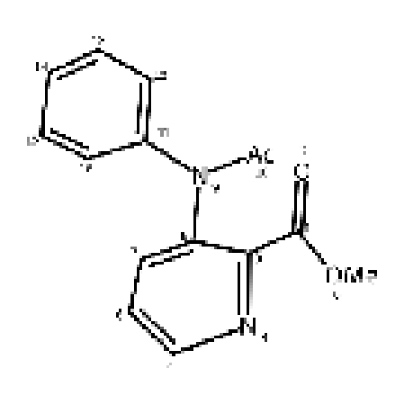 COC(=O)c1ncccc1N(C(C)=O)c1ccccc1